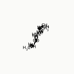 CN1C[C@@H]2C[C@H]1CN2CCCS(=O)(=O)N1CC[C@H](Nc2ncc(C(F)(F)F)c(-c3cnn(CC(C)(C)O)c3)n2)[C@H](F)C1